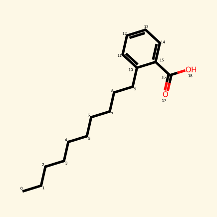 CCCCCCCCCCc1ccccc1C(=O)O